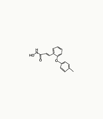 Cc1ccc(Oc2ccccc2C=CC(=O)NO)cc1